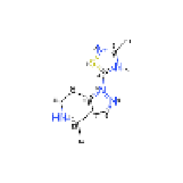 Cc1nsc(-n2ncc3c2CCNC3C)n1